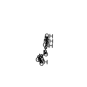 C[C@H]1C[C@H](O)CN1Cc1nc2cc(NC(=O)c3ccc(C4CCN(C(=O)CCC5CCN(c6cccc7c6C(=O)N(C6CCC(=O)NC6=O)C7=O)CC5)CC4)cc3)ccc2[nH]1